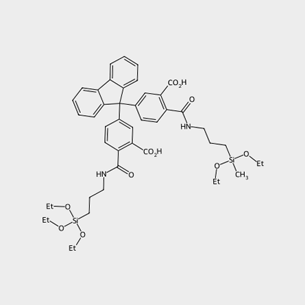 CCO[Si](C)(CCCNC(=O)c1ccc(C2(c3ccc(C(=O)NCCC[Si](OCC)(OCC)OCC)c(C(=O)O)c3)c3ccccc3-c3ccccc32)cc1C(=O)O)OCC